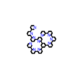 c1cncc(-c2cccc(-c3cccc(-c4cc(-c5cccc(-c6cccc(-c7cccc(-c8cccnc8)n7)n6)n5)cc(-c5cccc(-c6cccc(-c7cccc(-c8cccnc8)n7)n6)n5)c4)n3)n2)c1